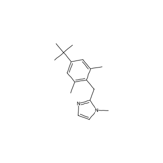 Cc1cc(C(C)(C)C)cc(C)c1Cc1nccn1C